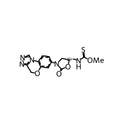 COC(=S)NC[C@H]1CN(c2ccc3c(c2)OCc2nncn2-3)C(=O)O1